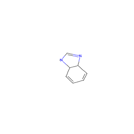 C1=CC2[N]C=NC2C=C1